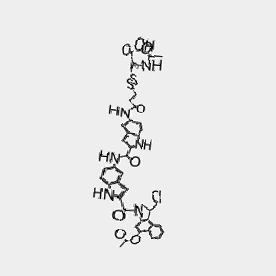 CC(=O)N[C@@H](CSSCCC(=O)Nc1ccc2[nH]c(C(=O)Nc3ccc4[nH]c(C(=O)N5CC(CCl)c6c5cc(OC(C)=O)c5ccccc65)cc4c3)cc2c1)C(=O)O